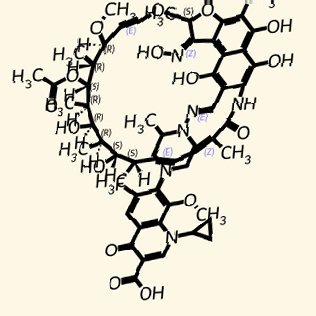 COc1c(N2CCN(/N=C/c3c4c(O)c5c(O)c(C)c6c(c5c3O)/C(=N/O)[C@@](C)(O/C=C/[C@H](OC)[C@@H](C)[C@@H](OC(C)=O)[C@H](C)[C@H](O)[C@H](C)[C@@H](O)[C@@H](C)/C=C/C=C(/C)C(=O)N4)O6)C(C)C2)c(F)cc2c(=O)c(C(=O)O)cn(C3CC3)c12